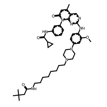 COc1cc(N2CCN(CCCCCCCCNC(=O)CC(C)(C)C)CC2)ccc1Nc1ncc2c(C)cc(=O)n(-c3cccc(NC(=O)C4CC4)c3)c2n1